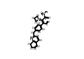 C=C/C(=C(\C(=C)N(C)C)N1CCC1)c1ccc(Cc2ccc3c(n2)CCC=C3)cc1